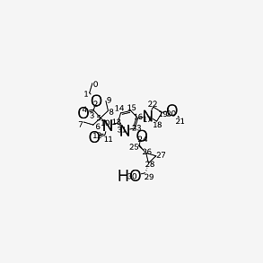 CCOC(=O)C(CC)(CC)N(C=O)c1ccc(N2CC(OC)C2)c(OC[C@H]2C[C@@H]2CO)n1